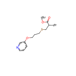 CC(C)C(CSCCCOc1cccnc1)C(=O)OC(C)(C)C